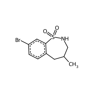 CC1CNS(=O)(=O)c2cc(Br)ccc2C1